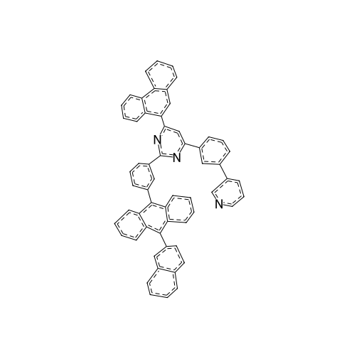 c1cncc(-c2cccc(-c3cc(-c4cc5ccccc5c5ccccc45)nc(-c4cccc(-c5c6ccccc6c(-c6ccc7ccccc7c6)c6ccccc56)c4)n3)c2)c1